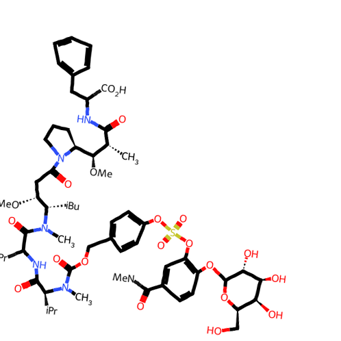 CCC(C)[C@@H]([C@@H](CC(=O)N1CCC[C@H]1[C@H](OC)[C@@H](C)C(=O)NC(Cc1ccccc1)C(=O)O)OC)N(C)C(=O)C(NC(=O)[C@H](C(C)C)N(C)C(=O)OCc1ccc(OS(=O)(=O)Oc2cc(C(=O)NC)ccc2OC2O[C@H](CO)[C@H](O)[C@H](O)[C@H]2O)cc1)C(C)C